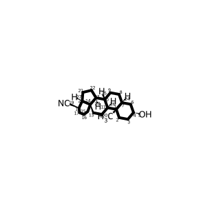 C[C@]12CC[C@@H](O)C[C@@H]1CC[C@@H]1[C@@H]2CC[C@@]23CCC[C@@H](C#N)[C@H]2CC[C@@H]13